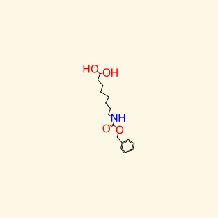 O=C(NCCCCCCCC(O)O)OCc1ccccc1